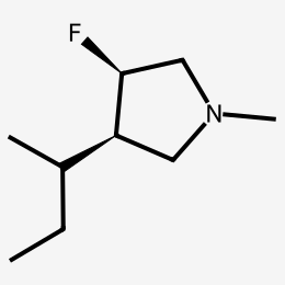 CCC(C)[C@@H]1CN(C)C[C@@H]1F